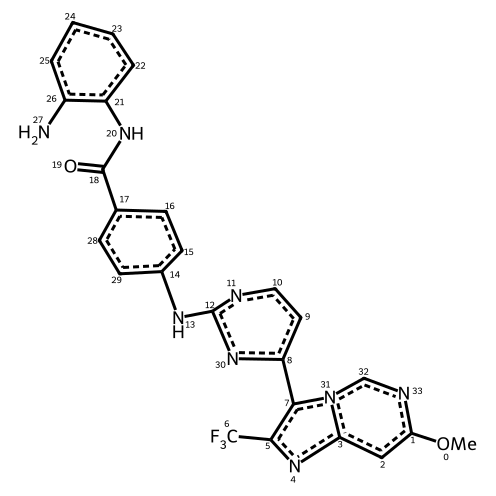 COc1cc2nc(C(F)(F)F)c(-c3ccnc(Nc4ccc(C(=O)Nc5ccccc5N)cc4)n3)n2cn1